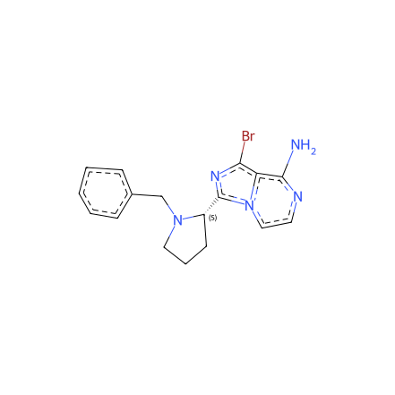 Nc1nccn2c([C@@H]3CCCN3Cc3ccccc3)nc(Br)c12